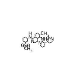 Cc1ccc2c(Nc3cccc(S(C)(=O)=O)c3)nccc2c1Nc1ncccc1-c1ccncn1